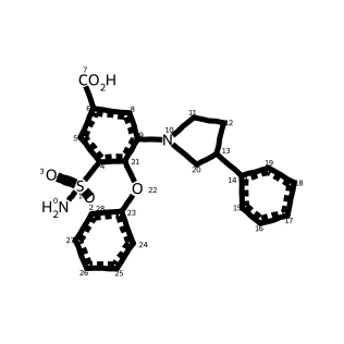 NS(=O)(=O)c1cc(C(=O)O)cc(N2CCC(c3ccccc3)C2)c1Oc1ccccc1